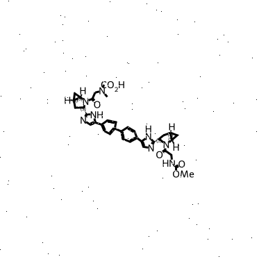 COC(=O)NCC(=O)N1[C@H](c2ncc(-c3ccc(-c4ccc(-c5cnc([C@@H]6C[C@@H]7C[C@@H]7N6C(=O)CN(C)C(=O)O)[nH]5)cc4)cc3)[nH]2)C[C@H]2C[C@@H]21